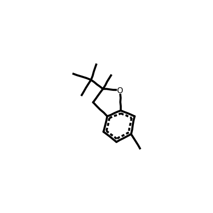 Cc1ccc2c(c1)OC(C)(C(C)(C)C)C2